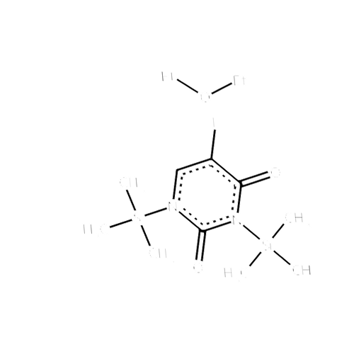 CCOCC.C[Si](C)(C)n1cc(F)c(=O)n([Si](C)(C)C)c1=O